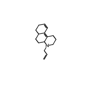 C=CCN1CCCC2=C3C=CCCC3CCC21